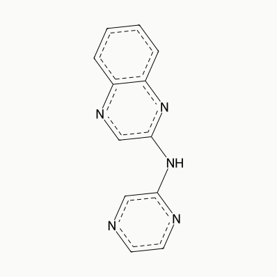 c1ccc2nc(Nc3cnccn3)cnc2c1